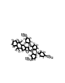 CC(C)(C)c1ccc(N2c3ccc(C(C)(C)C)cc3B3c4oc5cc6c(cc5c4N(c4ccc(C(C)(C)C)cc4)c4cccc2c43)C(C)(C)c2ccccc2C6(C)C)cc1